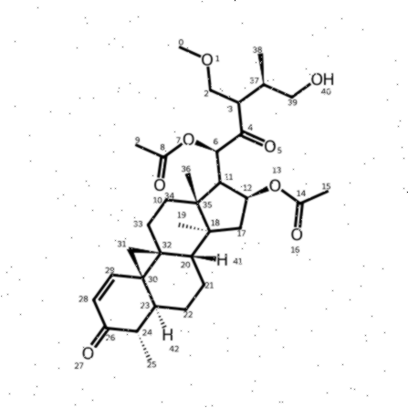 COCC(C(=O)[C@H](OC(C)=O)C1[C@@H](OC(C)=O)C[C@@]2(C)[C@@H]3CC[C@H]4[C@H](C)C(=O)C=C[C@@]45C[C@@]35CC[C@]12C)[C@@H](C)CO